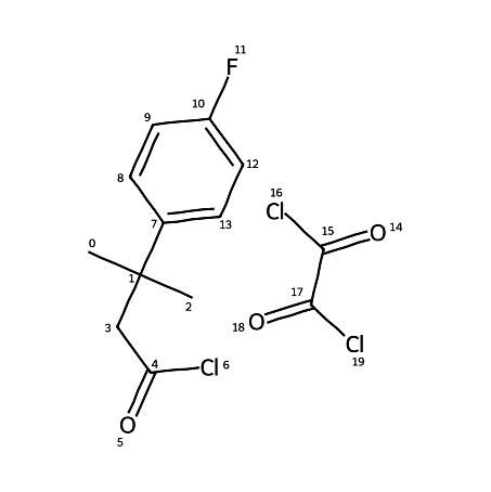 CC(C)(CC(=O)Cl)c1ccc(F)cc1.O=C(Cl)C(=O)Cl